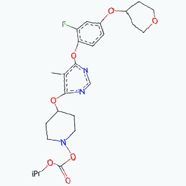 Cc1c(Oc2ccc(OC3CCOCC3)cc2F)ncnc1OC1CCN(OC(=O)OC(C)C)CC1